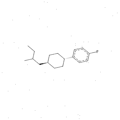 CCC(C)C[C@H]1CC[C@H](c2ccc(F)cc2)CC1